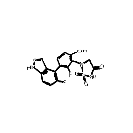 O=C1CN(c2c(O)ccc(-c3c(F)ccc4[nH]ncc34)c2F)S(=O)(=O)N1